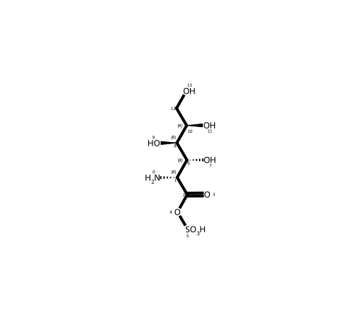 N[C@@H](C(=O)OS(=O)(=O)O)[C@@H](O)[C@@H](O)[C@H](O)CO